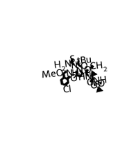 C=C[C@@H]1C[C@]1(NC(=O)[C@@H]1C[C@@H](Oc2ncc(OC)c3ccc(Cl)cc23)CN1C(=O)C(NC(N)=S)C(C)(C)C)C(=O)NS(=O)(=O)C1CC1